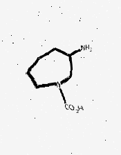 NC1CCCCN(C(=O)O)C1